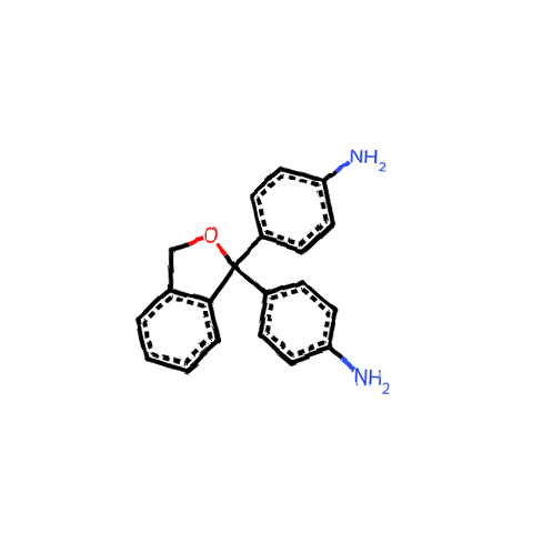 Nc1ccc(C2(c3ccc(N)cc3)OCc3ccccc32)cc1